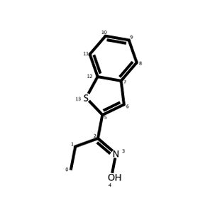 CCC(=NO)c1cc2ccccc2s1